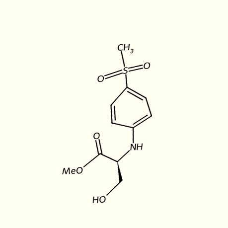 COC(=O)[C@H](CO)Nc1ccc(S(C)(=O)=O)cc1